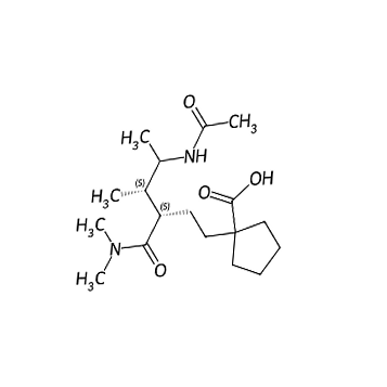 CC(=O)NC(C)[C@@H](C)[C@H](CCC1(C(=O)O)CCCC1)C(=O)N(C)C